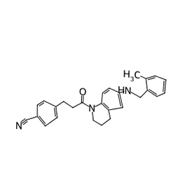 Cc1ccccc1CNc1ccc2c(c1)CCCN2C(=O)CCc1ccc(C#N)cc1